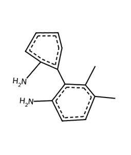 Cc1ccc(N)c(-c2ccccc2N)c1C